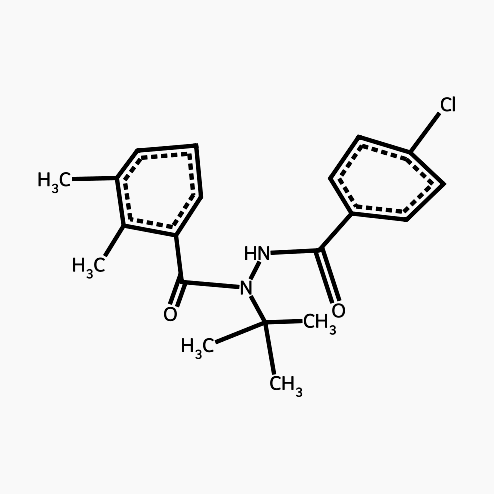 Cc1cccc(C(=O)N(NC(=O)c2ccc(Cl)cc2)C(C)(C)C)c1C